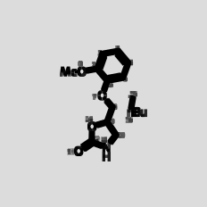 COc1ccccc1OCC1CNC(=O)O1.[CH2]CCCC